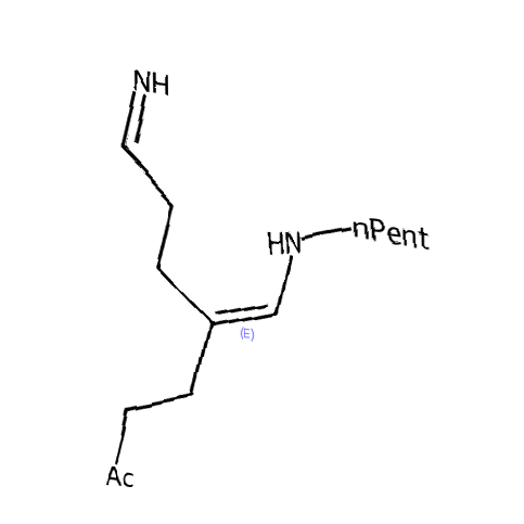 CCCCCN/C=C(\CCC=N)CCC(C)=O